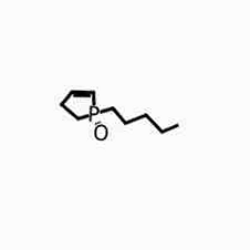 CCCCCP1(=O)C=CCC1